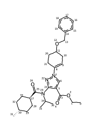 CCOC(=O)c1cn(C2=CCC(OCc3ccccc3)CC2)nc1N(C(=O)[C@H]1CC[C@H](C)CC1)C(C)C